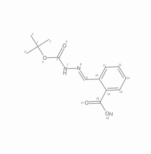 CC(C)(C)OC(=O)N/N=C/c1ccccc1C(=O)O